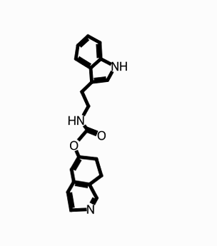 O=C(NCCc1c[nH]c2ccccc12)OC1=Cc2ccncc2CC1